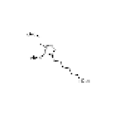 CCCCCCCCCCCCCCCCN1C=CN(CCCCCCCCCCCC)C1CCCCCCC